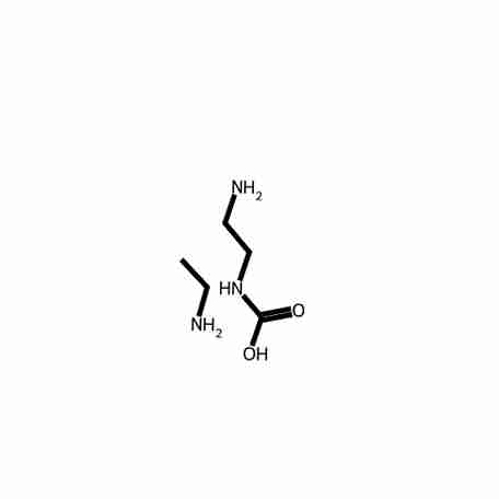 CCN.NCCNC(=O)O